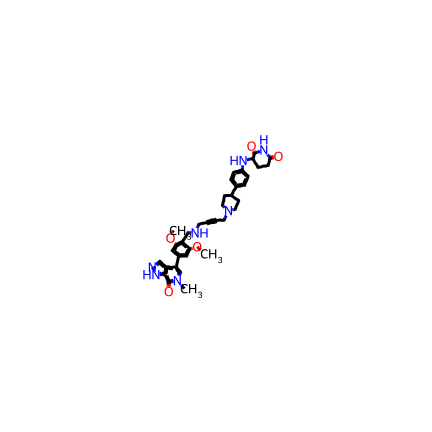 COc1cc(-c2cn(C)c(=O)c3[nH]ncc23)cc(OC)c1CNCC#CCN1CCC(c2ccc(NC3CCC(=O)NC3=O)cc2)CC1